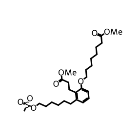 COC(=O)CCCCCCCOc1cccc(CCCCCCOS(C)(=O)=O)c1CCC(=O)OC